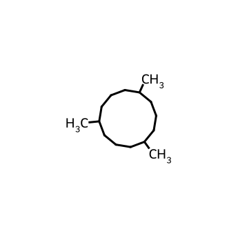 CC1CCCC(C)CCCC(C)CCC1